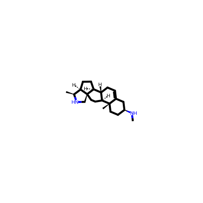 CN[C@H]1CC[C@@]2(C)C(=CC[C@H]3[C@@H]4CC[C@@H]5[C@H](C)NC[C@@]54CC[C@@H]32)C1